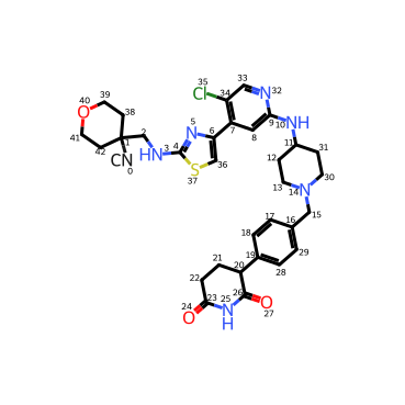 N#CC1(CNc2nc(-c3cc(NC4CCN(Cc5ccc(C6CCC(=O)NC6=O)cc5)CC4)ncc3Cl)cs2)CCOCC1